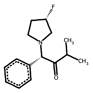 CC(C)C(=O)[C@H](c1ccccc1)N1CC[C@H](F)C1